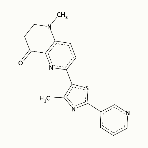 Cc1nc(-c2cccnc2)sc1-c1ccc2c(n1)C(=O)CCN2C